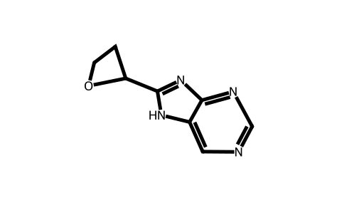 c1ncc2[nH]c(C3CCO3)nc2n1